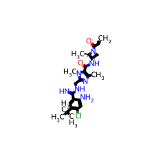 C=CC(=O)N1C[C@@H](NC(=O)c2c(C)nc(CNC(=N)c3cc(C(C)(C)C)c(Cl)cc3N)n2C)[C@H]1C